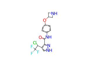 O=C(Nc1ccc(OC2CNC2)cc1)c1n[nH]cc1C(Cl)C(F)(F)F